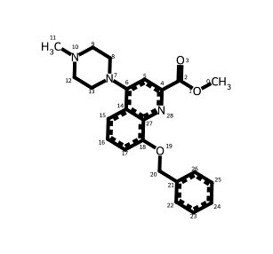 COC(=O)c1cc(N2CCN(C)CC2)c2cccc(OCc3ccccc3)c2n1